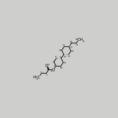 CCCC(=O)O[C@H]1CC[C@H]([C@H]2CC[C@H](CCC)CC2)CC1